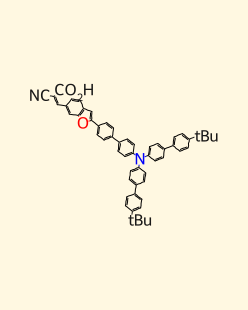 CC(C)(C)c1ccc(-c2ccc(N(c3ccc(-c4ccc(-c5cc6ccc(C=C(C#N)C(=O)O)cc6o5)cc4)cc3)c3ccc(-c4ccc(C(C)(C)C)cc4)cc3)cc2)cc1